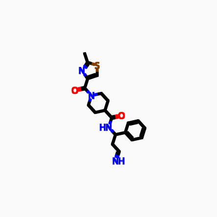 Cc1nc(C(=O)N2CCC(C(=O)NC(CC=N)c3ccccc3)CC2)cs1